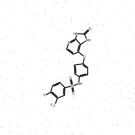 O=c1[nH]c2nccc(Oc3ccc(NS(=O)(=O)c4ccc(Cl)c(C(F)(F)F)c4)cc3)c2[nH]1